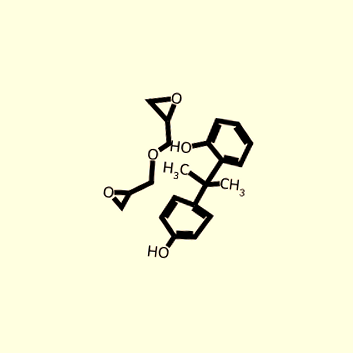 C(OCC1CO1)C1CO1.CC(C)(c1ccc(O)cc1)c1ccccc1O